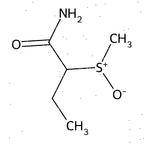 CCC(C(N)=O)[S+](C)[O-]